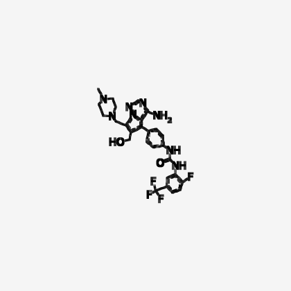 CN1CCN(Cc2c(CO)c(-c3ccc(NC(=O)Nc4cc(C(F)(F)F)ccc4F)cc3)c3c(N)ncnn23)CC1